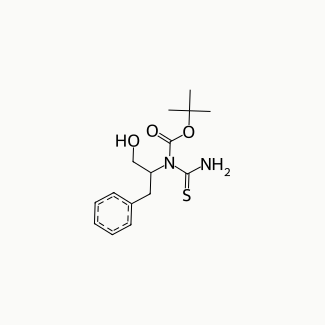 CC(C)(C)OC(=O)N(C(N)=S)C(CO)Cc1ccccc1